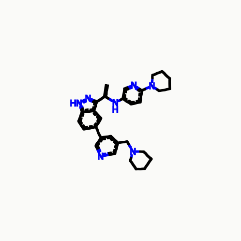 C=C(Nc1ccc(N2CCCCC2)nc1)c1n[nH]c2ccc(-c3cncc(CN4CCCCC4)c3)cc12